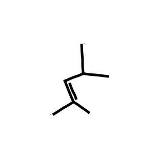 [CH2]C(C)=CC([CH2])C